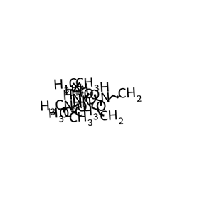 C=CCCNC(=O)C(=O)C(CCC=C)NC(=O)[C@@H]1[C@@H]2[C@H](CN1C(=O)[C@@H](NC(C)=O)C(C)(C)C)C2(C)C